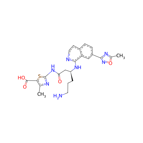 Cc1nc(-c2ccc3ccnc(N[C@@H](CCCN)CC(=O)Nc4nc(C)c(C(=O)O)s4)c3c2)no1